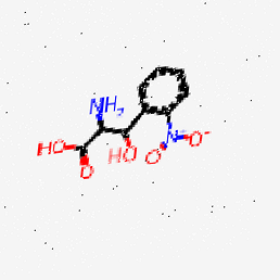 NC(C(=O)O)C(O)c1ccccc1[N+](=O)[O-]